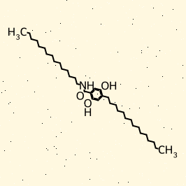 CCCCCCCCCCCCCCCNC(=O)c1cc(O)c(CCCCCCCCCCCCCCC)cc1O